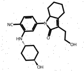 N#Cc1ccc(N2C(=O)C(CCO)=C3CCCCC32)cc1N[C@H]1CC[C@H](O)CC1